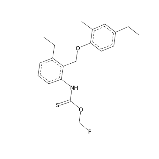 CCc1ccc(OCc2c(CC)cccc2NC(=S)OCF)c(C)c1